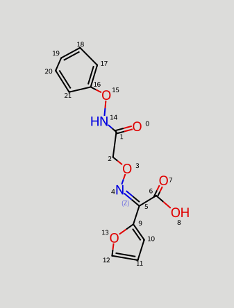 O=C(CO/N=C(\C(=O)O)c1ccco1)NOc1ccccc1